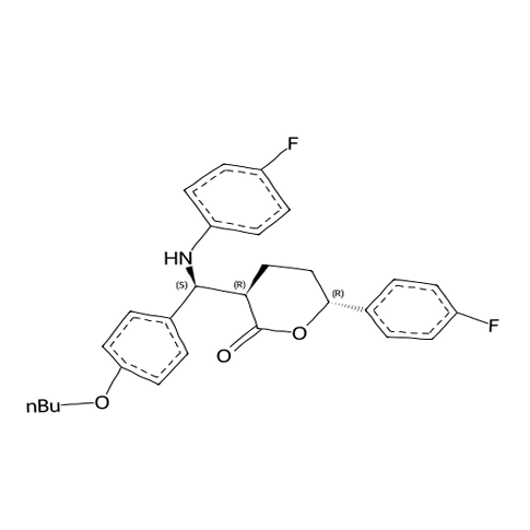 CCCCOc1ccc([C@@H](Nc2ccc(F)cc2)[C@H]2CC[C@H](c3ccc(F)cc3)OC2=O)cc1